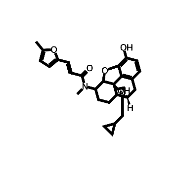 Cc1ccc(/C=C/C(=O)N(C)C2CC[C@@]3(O)[C@H]4Cc5ccc(O)c6c5[C@@]3(CCN4CC3CC3)C2O6)o1